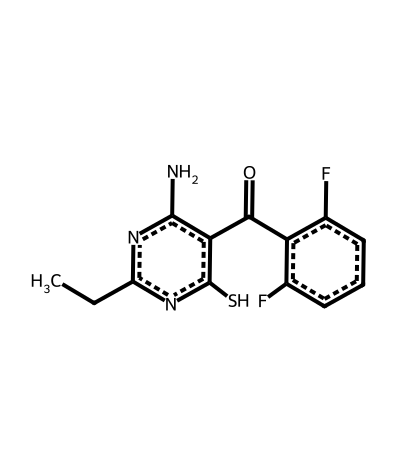 CCc1nc(N)c(C(=O)c2c(F)cccc2F)c(S)n1